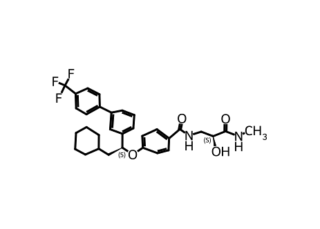 CNC(=O)[C@@H](O)CNC(=O)c1ccc(O[C@@H](CC2CCCCC2)c2cccc(-c3ccc(C(F)(F)F)cc3)c2)cc1